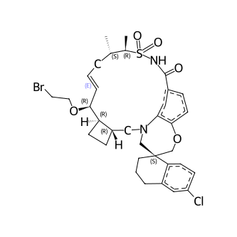 C[C@@H]1[C@@H](C)C/C=C/[C@H](OCCBr)[C@@H]2CC[C@H]2CN2C[C@@]3(CCCc4cc(Cl)ccc43)COc3ccc(cc32)C(=O)NS1(=O)=O